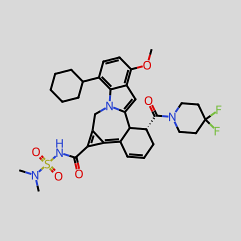 COc1ccc(C2CCCCC2)c2c1cc1n2CC2=C(C(=O)NS(=O)(=O)N(C)C)C2=C2C=CC[C@@H](C(=O)N3CCC(F)(F)CC3)C21